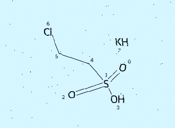 O=S(=O)(O)CCCl.[KH]